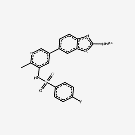 CC(=O)Nc1nc2ccc(-c3cnc(C)c(NS(=O)(=O)c4ccc(F)cc4)c3)cc2s1